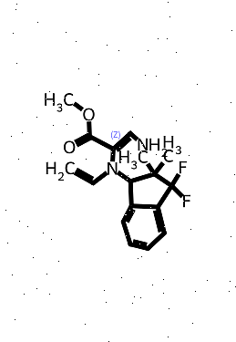 C=CN(/C(=C\N)C(=O)OC)C1c2ccccc2C(F)(F)C1(C)C